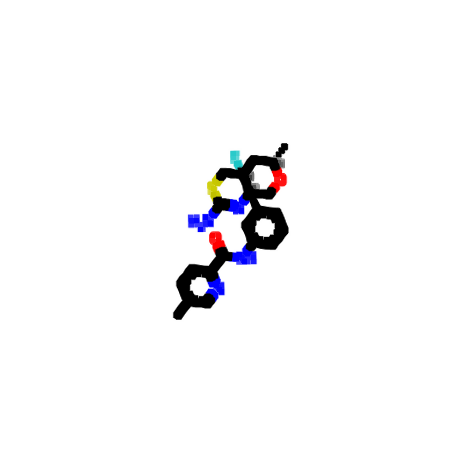 Cc1ccc(C(=O)Nc2cccc([C@]34CO[C@@H](C)C[C@@]3(F)CSC(N)=N4)c2)nc1